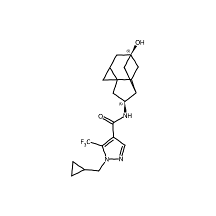 O=C(N[C@H]1CC23CC2C[C@@]2(O)CC1C3C2)c1cnn(CC2CC2)c1C(F)(F)F